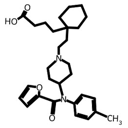 Cc1ccc(N(C(=O)c2ccco2)C2CCN(CCC3(CCCC(=O)O)CCCCC3)CC2)cc1